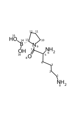 NCCCCC(N)C(=O)N1CCC[C@H]1B(O)O